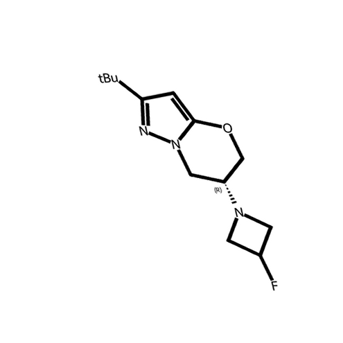 CC(C)(C)c1cc2n(n1)C[C@@H](N1CC(F)C1)CO2